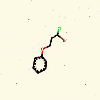 ClC(Br)CCOc1ccccc1